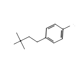 CC(C)(O)C[CH]c1ccc(C#N)cc1